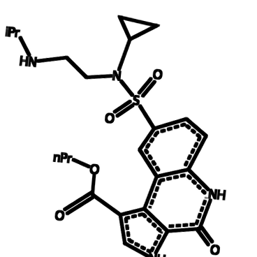 CCCOC(=O)c1c[nH]c2c(=O)[nH]c3ccc(S(=O)(=O)N(CCNC(C)C)C4CC4)cc3c12